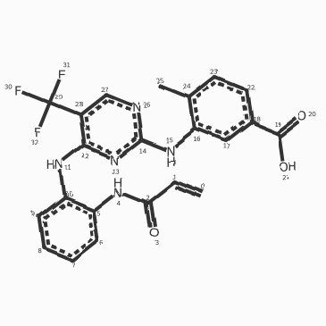 C=CC(=O)Nc1ccccc1Nc1nc(Nc2cc(C(=O)O)ccc2C)ncc1C(F)(F)F